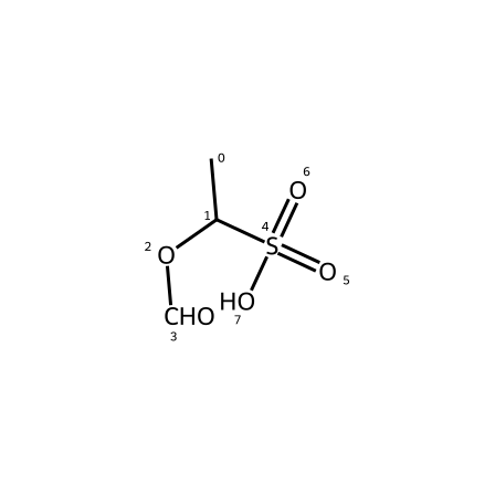 CC(OC=O)S(=O)(=O)O